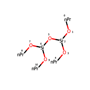 CCCO[Si](OCCC)O[Si](OCCC)OCCC